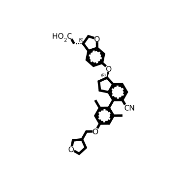 Cc1cc(OCC2CCOC2)cc(C)c1-c1c(C#N)ccc2c1CC[C@H]2Oc1ccc2c(c1)OC[C@H]2CC(=O)O